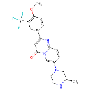 COc1ccc(-c2cc(=O)n3cc(N4CCN[C@H](C)C4)ccc3n2)cc1C(F)(F)F